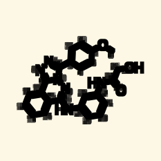 COc1ccc(-c2nnc3c4ccccc4c(Nc4cccc(NC(=O)CO)c4)nn23)cc1